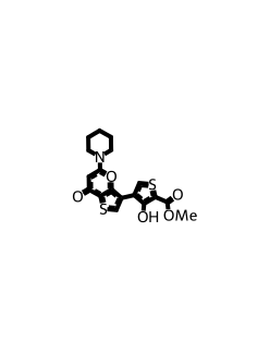 COC(=O)c1scc(-c2csc3c(=O)cc(N4CCCCC4)oc23)c1O